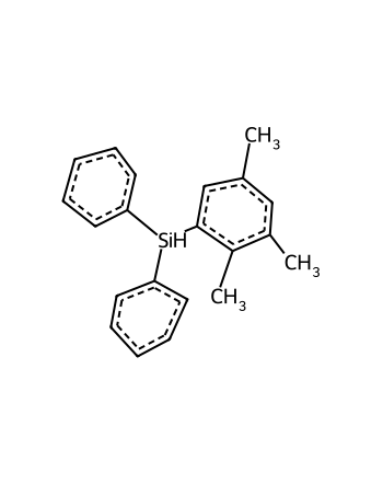 Cc1cc(C)c(C)c([SiH](c2ccccc2)c2ccccc2)c1